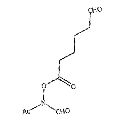 CC(=O)N(C=O)OC(=O)CCCCC=O